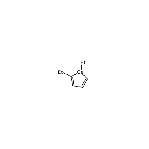 CC[C]1=CC=[CH][GeH]1[CH2]C